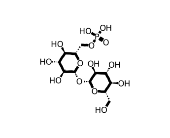 O=P(O)(O)OC[C@@H]1O[C@H](O[C@H]2O[C@@H](CO)[C@H](O)[C@@H](O)[C@@H]2O)[C@@H](O)[C@H](O)[C@H]1O